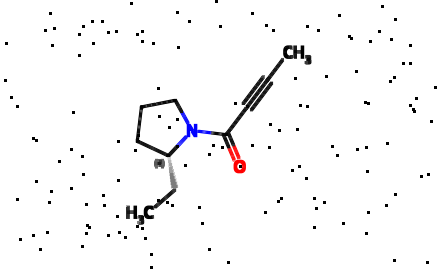 CC#CC(=O)N1CCC[C@H]1CC